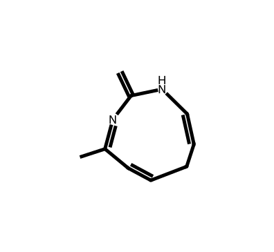 C=C1/N=C(C)\C=C/C/C=C\N1